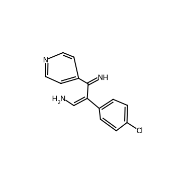 N=C(/C(=C\N)c1ccc(Cl)cc1)c1ccncc1